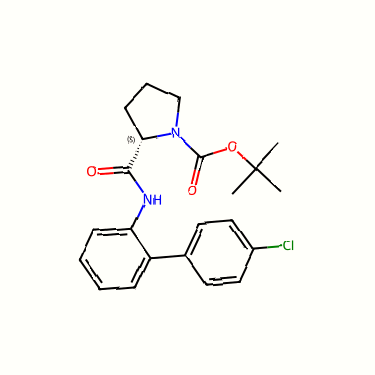 CC(C)(C)OC(=O)N1CCC[C@H]1C(=O)Nc1ccccc1-c1ccc(Cl)cc1